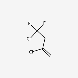 C=C(Cl)CC(F)(F)Cl